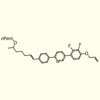 C=CCOc1ccc(-c2ccc(-c3ccc(C=CCCCC(C)OCCCCC)cc3)nc2)c(F)c1F